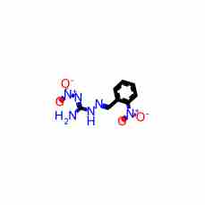 NC(=N[N+](=O)[O-])NN=Cc1ccccc1[N+](=O)[O-]